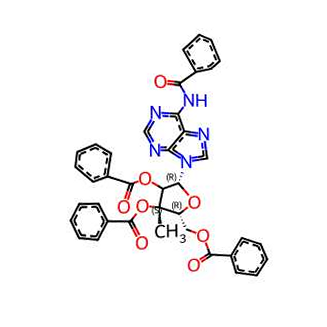 C[C@@]1(OC(=O)c2ccccc2)C(OC(=O)c2ccccc2)[C@H](n2cnc3c(NC(=O)c4ccccc4)ncnc32)O[C@@H]1COC(=O)c1ccccc1